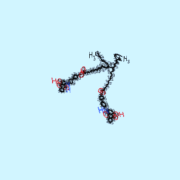 CCCCCCC(CCCCCCCCCCCC(=O)OCc1ccc(-c2ccc(Nc3ccc(O)c4c3C(=O)c3ccccc3C4=O)cc2)cc1)C(CCCCCC)CCCCCCCCCCCC(=O)OCc1ccc(-c2ccc(Nc3ccc(O)c4c3C(=O)c3ccccc3C4=O)cc2)cc1